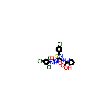 O=C(Nc1sc(-c2ccc(Cl)cc2)nc1C(=O)N[C@H](C(=O)O)C1CCCCC1)Nc1c(Cl)cc(Cl)cc1Cl